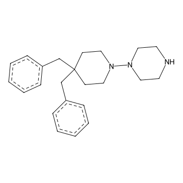 c1ccc(CC2(Cc3ccccc3)CCN(N3CCNCC3)CC2)cc1